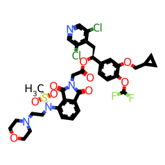 CS(=O)(=O)N(CCN1CCOCC1)c1cccc2c1C(=O)N(CC(=O)O[C@@H](Cc1c(Cl)cncc1Cl)c1ccc(OC(F)F)c(OCC3CC3)c1)C2=O